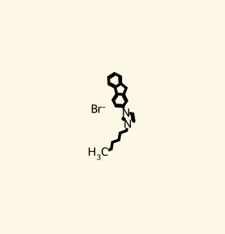 CCCCCC[n+]1ccn(-c2ccc3c(c2)Cc2ccccc2-3)c1.[Br-]